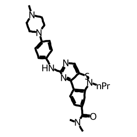 CCCN1Sc2cnc(Nc3ccc(N4CCN(C)CC4)cc3)nc2-c2ccc(C(=O)N(C)C)cc21